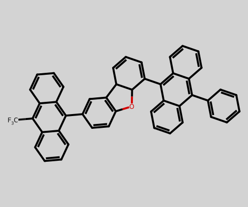 FC(F)(F)c1c2ccccc2c(-c2ccc3c(c2)C2C=CC=C(c4c5ccccc5c(-c5ccccc5)c5ccccc45)C2O3)c2ccccc12